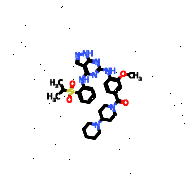 COc1cc(C(=O)N2CCC(N3CCCCC3)CC2)ccc1Nc1nc(Nc2ccccc2S(=O)(=O)C(C)C)c2cn[nH]c2n1